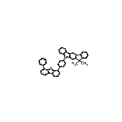 CC1(C)c2ccccc2-c2cc3c4ccccc4n(-c4ccc(-c5cccc6c5sc5c(-c7ccccc7)cccc56)cc4)c3cc21